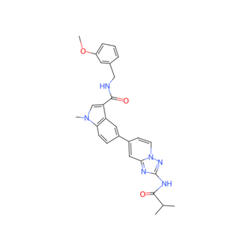 COc1cccc(CNC(=O)c2cn(C)c3ccc(-c4ccn5nc(NC(=O)C(C)C)nc5c4)cc23)c1